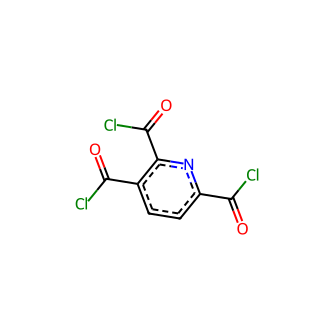 O=C(Cl)c1ccc(C(=O)Cl)c(C(=O)Cl)n1